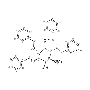 CO[C@H]1[C@@H](O)[C@@H](OCc2ccccc2)[C@H](OCc2ccccc2)[C@@H](OCc2ccccc2)[C@@H]1OCc1ccccc1